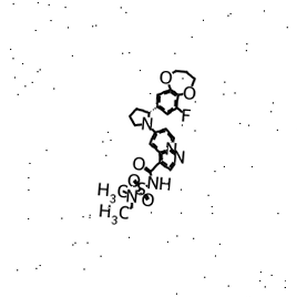 CCN(C)S(=O)(=O)NC(=O)c1cnn2ccc(N3CCC[C@@H]3c3cc(F)c4c(c3)OCCCO4)cc12